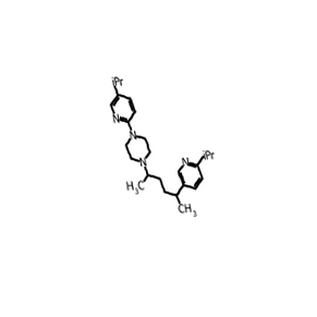 CC(C)c1ccc(N2CCN(C(C)CCC(C)c3ccc(C(C)C)nc3)CC2)nc1